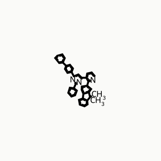 CC1(C)c2ccccc2-c2ccc(-c3ncccc3-c3cc(-c4ccc(-c5ccccc5)cc4)nc(-c4ccccc4)n3)cc21